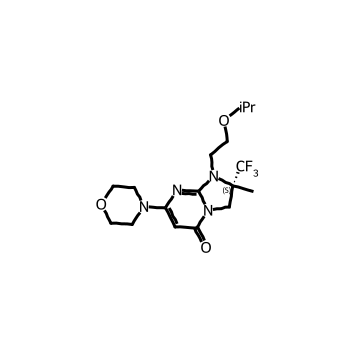 CC(C)OCCN1c2nc(N3CCOCC3)cc(=O)n2C[C@@]1(C)C(F)(F)F